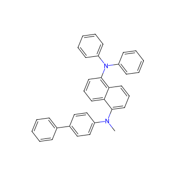 CN(c1ccc(-c2ccccc2)cc1)c1cccc2c(N(c3ccccc3)c3ccccc3)cccc12